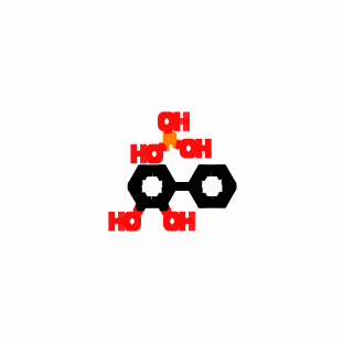 OP(O)O.Oc1cccc(-c2ccccc2)c1O